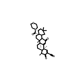 C[C@@H]1C(=O)C(C#N)=C[C@]2(C)C3=CC(=O)C4C5CC(C)(C)CC[C@]5(C(=O)N5CCOCC5)CC[C@@]4(C)[C@]3(C)CCC12